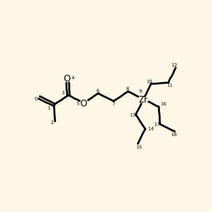 C=C(C)C(=O)OCC[CH2][Zr]([CH2]CC)([CH2]CC)[CH2]CC